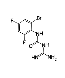 N=C(N)NC(=O)Nc1c(F)cc(F)cc1Br